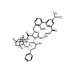 CNC(=O)c1cc(-c2cccc(CN3O[C@@H](CO)[C@H]([C@H](C)N(CCc4ccccc4)C(C)=O)[C@H]3C(=O)N[C@H]3C[C@H]4C[C@@H]([C@@H]3C)C4(C)C)c2OC)cc(N(C)C)c1